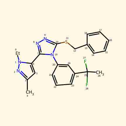 CCn1nc(C)cc1-c1nnc(SCc2ccccc2)n1-c1cccc(C(C)(F)F)c1